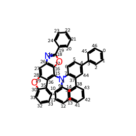 c1ccc(-c2ccc(N(c3ccccc3)c3c4oc(-c5ccccc5)nc4cc4oc5ccccc5c34)c(-c3ccccc3)c2)cc1